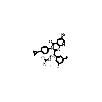 NC(=O)OC[C@@H](c1cc(F)cc(F)c1)c1nc2ncc(Br)cc2c(=O)n1-c1ccc(C2CC2)cc1